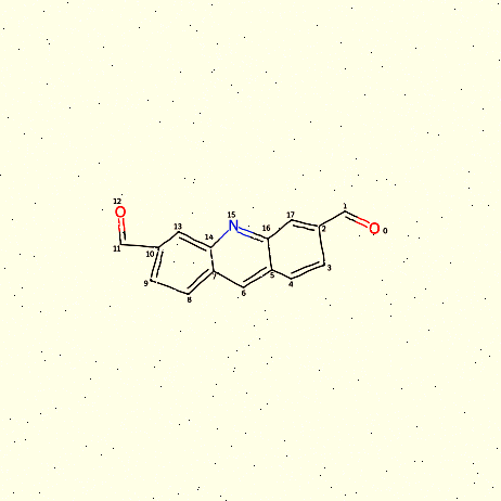 O=Cc1ccc2cc3ccc(C=O)cc3nc2c1